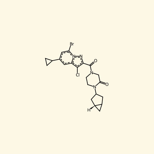 O=C(c1nn2c(Br)cc(C3CC3)cc2c1Cl)N1CCN(C2CC3C[C@@H]3C2)C(=O)C1